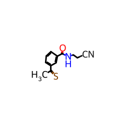 CC(=S)c1cccc(C(=O)NCCC#N)c1